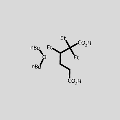 CCC(CCC(=O)O)C(CC)(CC)C(=O)O.CCCCOCCCC